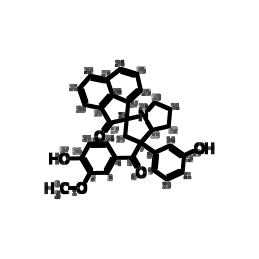 COc1cc(C(=O)C2(c3cccc(O)c3)CC3(C(=O)c4cccc5cccc3c45)N3CCCC32)ccc1O